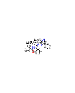 COc1ncc(C2CCCCC2)cc1CNC1C(c2ccccc2)N(C(=O)C2CCCCC2)CC1C(C)(C)OC